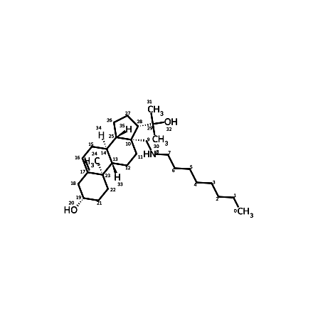 CCCCCCCCNC[C@]12CC[C@H]3[C@@H](CC=C4C[C@@H](O)CC[C@@]43C)[C@@H]1CC[C@@H]2C(C)(C)O